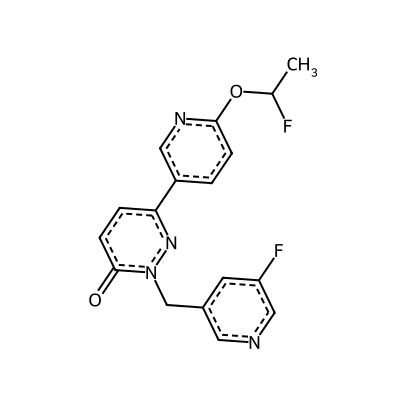 CC(F)Oc1ccc(-c2ccc(=O)n(Cc3cncc(F)c3)n2)cn1